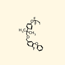 CC(C)(COCc1ccc(F)c(Oc2ccccc2)c1)c1ccc(OC(F)(F)CI)cc1